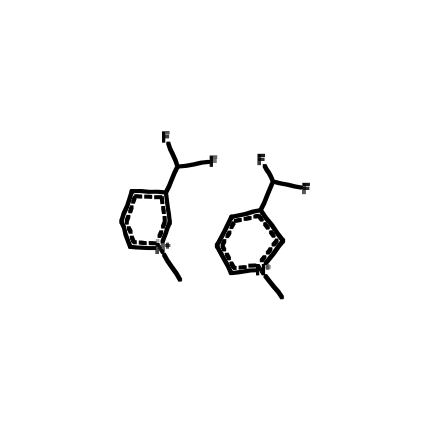 C[n+]1cccc(C(F)F)c1.C[n+]1cccc(C(F)F)c1